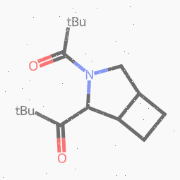 CC(C)(C)C(=O)C1C2CCC2CN1C(=O)C(C)(C)C